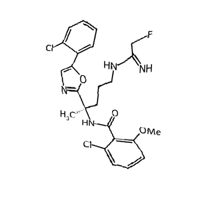 COc1cccc(Cl)c1C(=O)N[C@](C)(CCCNC(=N)CF)c1ncc(-c2ccccc2Cl)o1